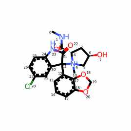 CNC(=O)[C@@H]1C[C@@H](O)C[N+]1(C)C1(c2cccc3c2OCO3)C(=O)Nc2ccc(Cl)cc21